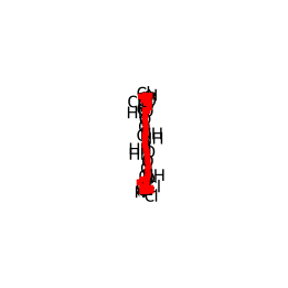 Cc1cc(S(=O)(=O)NCCOCCOCCNC(=O)NCCCCNC(=O)NCCOCCOCCNS(=O)(=O)c2cc(C)c(O[C@H]3c4cc(Cl)cc(Cl)c4C[C@@H]3N(C)C)cc2F)c(F)cc1O[C@H]1c2cc(Cl)cc(Cl)c2C[C@@H]1N(C)C